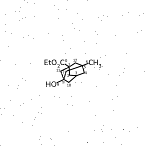 CCOC(=O)C12CC3CC(C)(CC(O)(C3)C1)C2